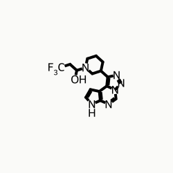 OC(CC(F)(F)F)N1CCCC(c2nnn3cnc4[nH]ccc4c23)C1